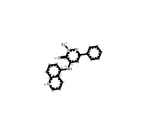 CCn1nc(-c2ccccc2)cc(Nc2cccc3ncccc23)c1=O